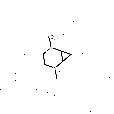 CN1CCN(C(=O)O)C2CC21